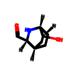 O=C[C@H]1N[C@H]2CC[C@@H]1C[C@@H]2O